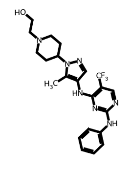 Cc1c(Nc2nc(Nc3[c]cccc3)ncc2C(F)(F)F)cnn1C1CCN(CCO)CC1